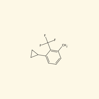 [CH2]c1cccc(C2CC2)c1C(F)(F)F